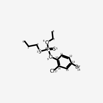 CCCSP(=S)(OCC)Oc1ccc(Br)cc1Cl